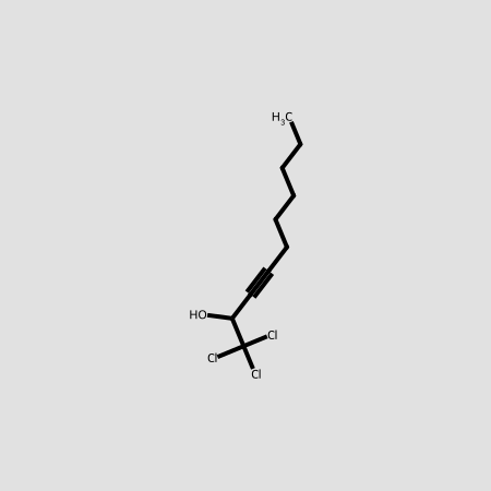 CCCCCCC#CC(O)C(Cl)(Cl)Cl